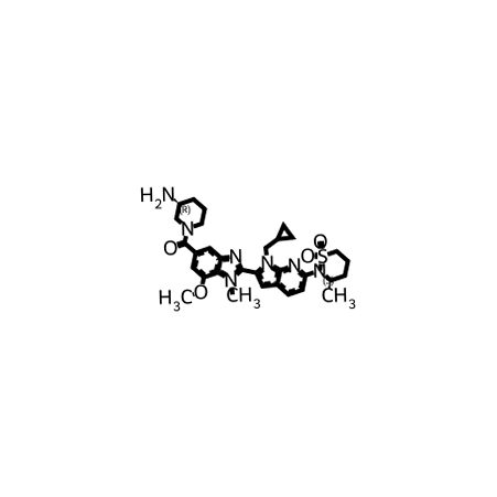 COc1cc(C(=O)N2CCC[C@@H](N)C2)cc2nc(-c3cc4ccc(N5[C@@H](C)CCCS5(=O)=O)nc4n3CC3CC3)n(C)c12